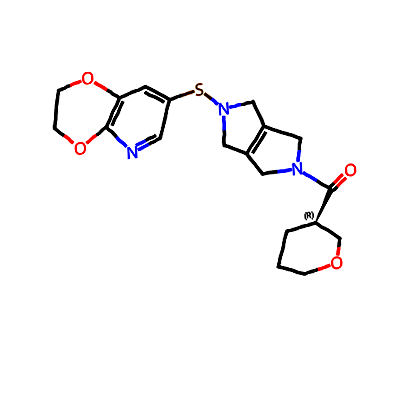 O=C([C@@H]1CCCOC1)N1CC2=C(CN(Sc3cnc4c(c3)OCCO4)C2)C1